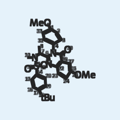 COc1ccc(-n2c(C(C)N(C)S(=O)(=O)c3ccc(C(C)(C)C)cc3)nc3ccc(OC)cc3c2=O)cc1